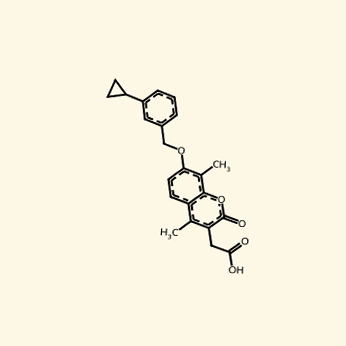 Cc1c(CC(=O)O)c(=O)oc2c(C)c(OCc3cccc(C4CC4)c3)ccc12